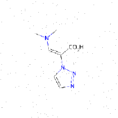 CN(C)C=C(C(=O)O)n1ccnn1